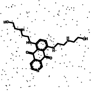 O=C1c2ccncc2C(=O)c2c(NCCNCCO)ccc(NCCNCCO)c21